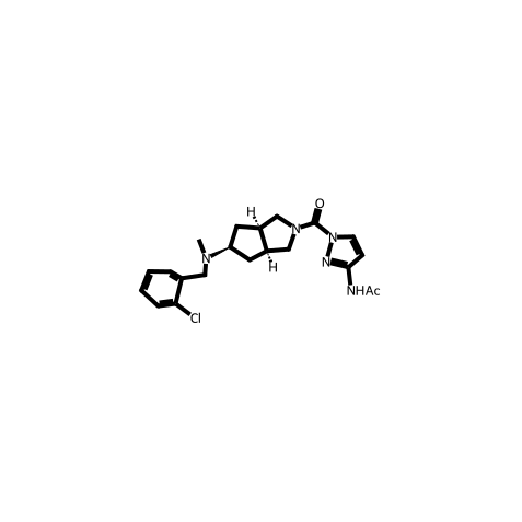 CC(=O)Nc1ccn(C(=O)N2C[C@H]3C[C@@H](N(C)Cc4ccccc4Cl)C[C@H]3C2)n1